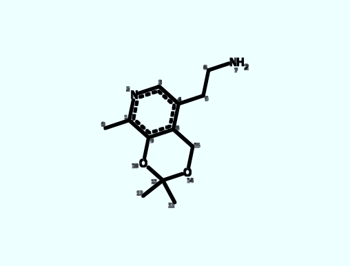 Cc1ncc(CCN)c2c1OC(C)(C)OC2